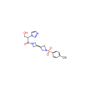 N#Cc1ccc(S(=O)(=O)N2CC(=C3CN(C(=O)C(CO)n4ccnc4)C3)C2)cc1